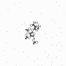 CC(=O)OC[C@H]1O[C@H](Oc2nc[nH]c2C(N)=O)[C@@H](OC(C)=O)[C@H]1OC(C)=O